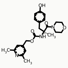 Cc1cc(COC(=O)N[C@@](C)(Cc2ccc(O)cc2)C(=O)N2CCOCC2)cc(C)n1